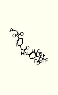 COC(c1ccc(NC(=O)Cc2ccc(S(=O)(=O)CC3CC3)cn2)cc1)(C(F)(F)F)C(F)(F)F